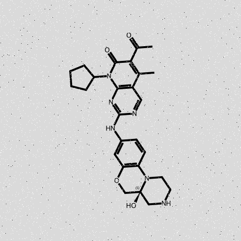 CC(=O)c1c(C)c2cnc(Nc3ccc4c(c3)OC[C@@]3(O)CNCCN43)nc2n(C2CCCC2)c1=O